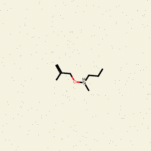 C=C(C)CO[SiH](C)CCC